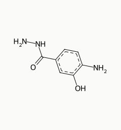 NNC(=O)c1ccc(N)c(O)c1